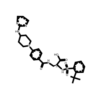 CC(C)(C)c1ccccc1S(=O)(=O)N[C@@H](CNC(=O)c1ccc(N2CCC(Nc3ncccn3)CC2)cc1)C(=O)O